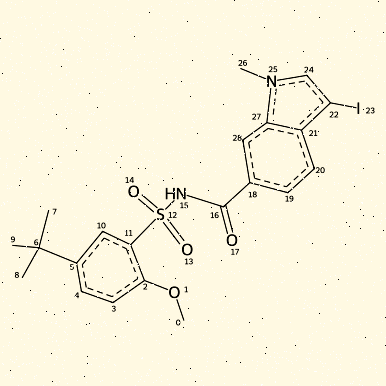 COc1ccc(C(C)(C)C)cc1S(=O)(=O)NC(=O)c1ccc2c(I)cn(C)c2c1